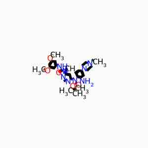 CCN1CCN(c2ccc(N(C(=O)OC(C)(C)C)c3cc(N(C)C(=O)Nc4cc(OC)cc(OC)c4)ncn3)c(N)c2)CC1